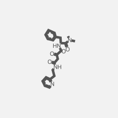 CN(C)C(=O)C(Cc1ccccc1)NC(=O)C(=O)CC(=O)NCCc1ccccn1